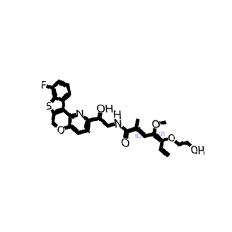 C=C/C(OCCO)=C(\C=C(/C)C(=O)NCC(O)c1ccc2c(n1)-c1c(sc3c(F)cccc13)CO2)OC